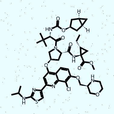 CC[C@@H]1C[C@]1(NC(=O)[C@@H]1C[C@@H](Oc2cc(-c3csc(NC(C)C)n3)nc3c(Cl)c(OC[C@@H]4COCCN4)ccc23)CN1C(=O)[C@@H](NC(=O)O[C@@H]1C[C@@H]2C[C@@H]2C1)C(C)(C)C)C(=O)OC